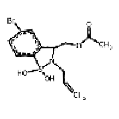 C=CCN1C(COC(C)=O)c2cc(Br)ccc2S1(O)O